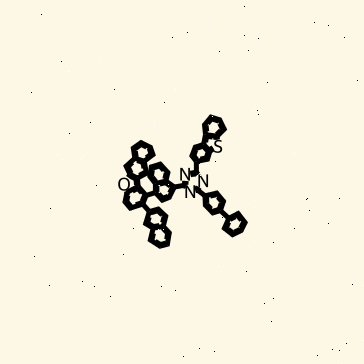 c1ccc(-c2ccc(-c3nc(-c4ccc5c(c4)sc4ccccc45)nc(-c4ccc(-c5c(-c6ccc7ccccc7c6)ccc6oc7cc8ccccc8cc7c56)c5ccccc45)n3)cc2)cc1